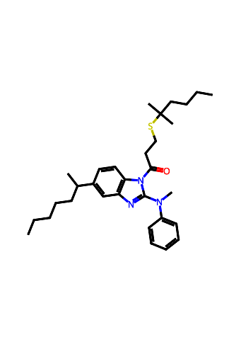 CCCCCC(C)c1ccc2c(c1)nc(N(C)c1ccccc1)n2C(=O)CCSC(C)(C)CCCC